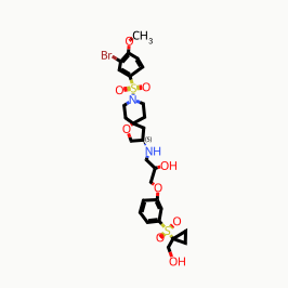 COc1ccc(S(=O)(=O)N2CCC3(CC2)C[C@H](NCC(O)COc2cccc(S(=O)(=O)C4(CO)CC4)c2)CO3)cc1Br